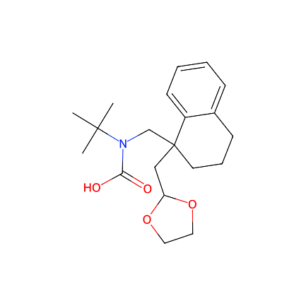 CC(C)(C)N(CC1(CC2OCCO2)CCCc2ccccc21)C(=O)O